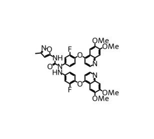 COc1cc2nccc(Oc3ccc(NN(C(=O)Nc4cc(C)no4)c4ccc(Oc5ccnc6cc(OC)c(OC)cc56)c(F)c4)cc3F)c2cc1OC